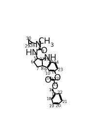 CN(C(=O)NC1CCC2c3cc(OC(=O)OCc4ccccc4)ccc3NC12)C1CC1